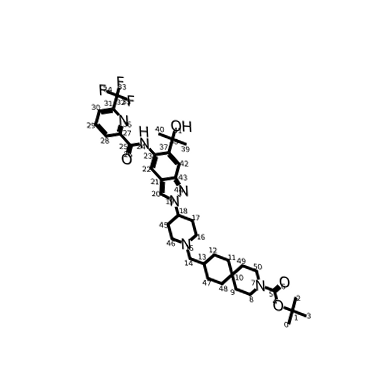 CC(C)(C)OC(=O)N1CCC2(CCC(CN3CCC(n4cc5cc(NC(=O)c6cccc(C(F)(F)F)n6)c(C(C)(C)O)cc5n4)CC3)CC2)CC1